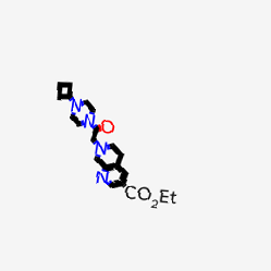 CCOC(=O)c1cnc2c(c1)CCN(CC(=O)N1CCN(C3CCC3)CC1)C2